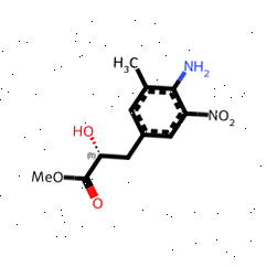 COC(=O)[C@H](O)Cc1cc(C)c(N)c([N+](=O)[O-])c1